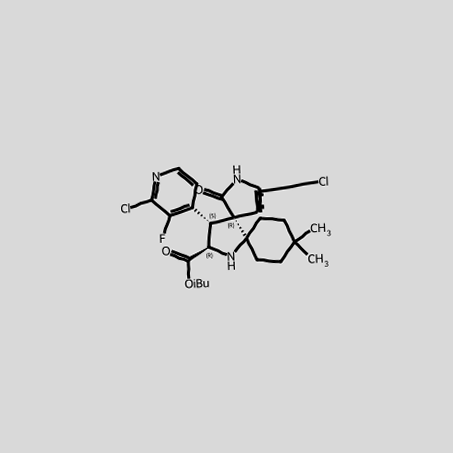 CC(C)COC(=O)[C@@H]1NC2(CCC(C)(C)CC2)[C@@]2(C(=O)Nc3cc(Cl)ccc32)[C@H]1c1ccnc(Cl)c1F